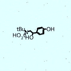 CC(C)(C)N(CC(O)c1ccc(O)cc1)C(=O)O